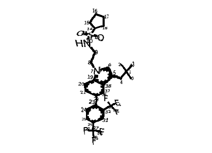 CC(C)(C)Cc1cn(CCNS(=O)(=O)C2CCCC2)c2ccc(-c3ccc(C(F)(F)F)cc3C(F)(F)F)cc12